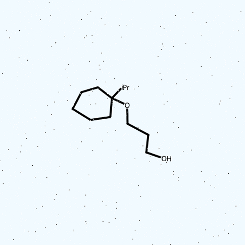 CC(C)C1(OCCCO)CCCCC1